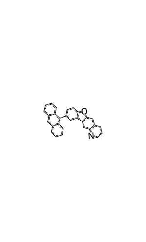 c1cnc2cc3c(cc2c1)oc1ccc(-c2c4ccccc4cc4ccccc24)cc13